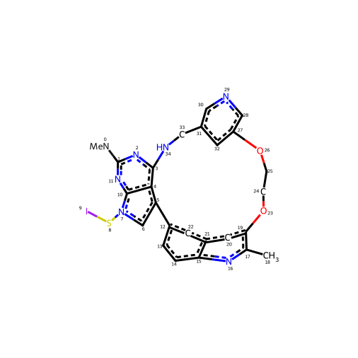 CNc1nc2c3c(cn(SI)c3n1)-c1ccc3nc(C)c(cc3c1)OCCOc1cncc(c1)CN2